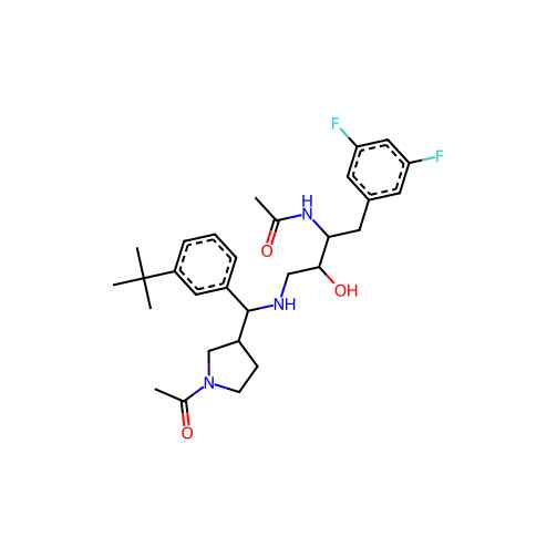 CC(=O)NC(Cc1cc(F)cc(F)c1)C(O)CNC(c1cccc(C(C)(C)C)c1)C1CCN(C(C)=O)C1